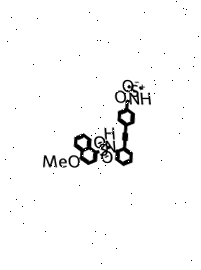 COc1ccc(S(=O)(=O)Nc2ccccc2C#Cc2ccc(C(=O)N[S+](C)[O-])cc2)c2ccccc12